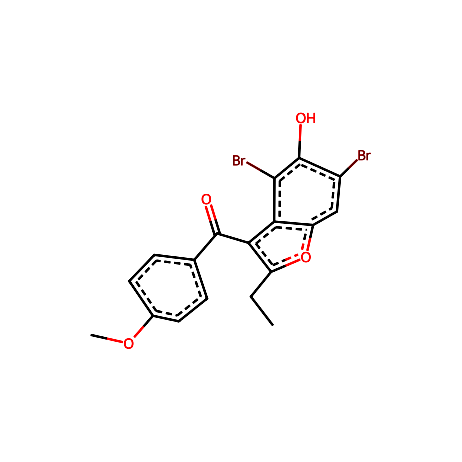 CCc1oc2cc(Br)c(O)c(Br)c2c1C(=O)c1ccc(OC)cc1